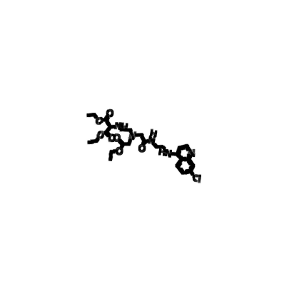 CCOC(=O)CN(CCNC(C(=O)OCC)C(=O)OCC)CC(=O)NCCNc1ccnc2cc(Cl)ccc12